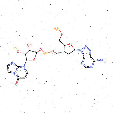 Nc1ncnc2c1nnn2[C@H]1C[C@H](COPOC2O[C@@H](n3ccc(=O)n4ccnc34)[C@H](OS)[C@@H]2O)[C@@H](COP)O1